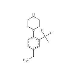 CCc1ccc(N2CCNCC2)c(C(F)(F)F)c1